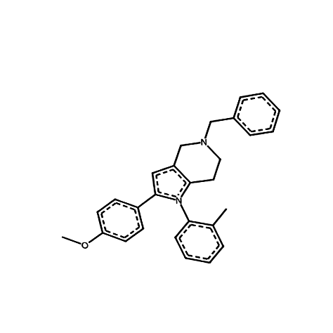 COc1ccc(-c2cc3c(n2-c2ccccc2C)CCN(Cc2ccccc2)C3)cc1